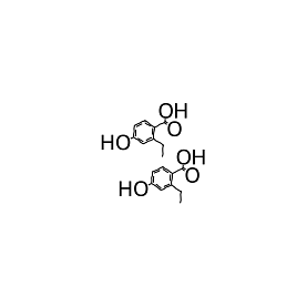 CCc1cc(O)ccc1C(=O)O.CCc1cc(O)ccc1C(=O)O